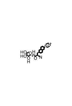 CN1CCN(c2ccc3cc(/C=C(\C#N)C(=O)NC[C@H]4OC[C@H](O)[C@@H](O)[C@@H]4O)ccc3c2)CC1